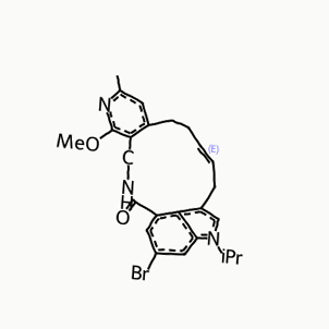 COc1nc(C)cc2c1CNC(=O)c1cc(Br)cc3c1c(cn3C(C)C)C/C=C/CC2